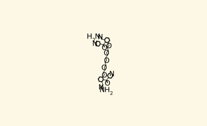 NN=Cc1cccc(OCCOCCOCCOCCOc2cccc(C=NN)c2C(=O)c2ccncc2)c1C(=O)c1ccncc1